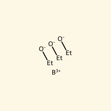 CC[O-].CC[O-].CC[O-].[B+3]